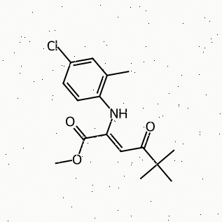 COC(=O)/C(=C/C(=O)C(C)(C)C)Nc1ccc(Cl)cc1C